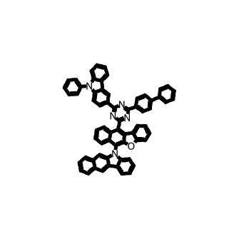 c1ccc(-c2ccc(-c3nc(-c4ccc5c(c4)c4ccccc4n5-c4ccccc4)nc(-c4c5ccccc5c(-n5c6ccccc6c6cc7ccccc7cc65)c5oc6ccccc6c45)n3)cc2)cc1